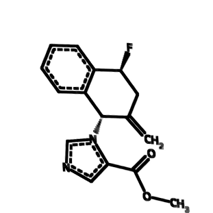 C=C1C[C@H](F)c2ccccc2[C@H]1n1cncc1C(=O)OC